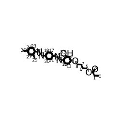 C=CC(=O)OCCCCOc1ccc(N=Nc2ccc(N=Nc3ccc(C)cc3C)cc2)c(O)c1